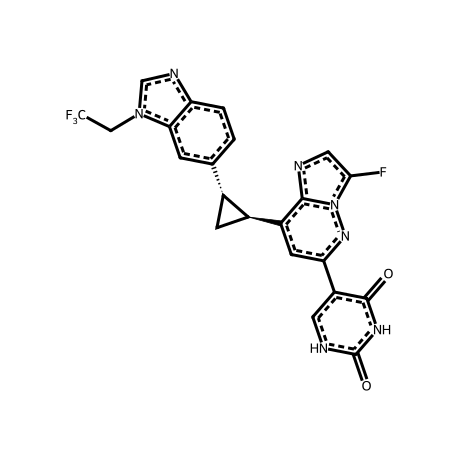 O=c1[nH]cc(-c2cc([C@H]3C[C@@H]3c3ccc4ncn(CC(F)(F)F)c4c3)c3ncc(F)n3n2)c(=O)[nH]1